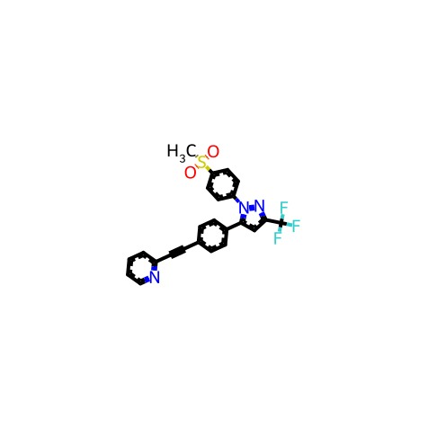 CS(=O)(=O)c1ccc(-n2nc(C(F)(F)F)cc2-c2ccc(C#Cc3ccccn3)cc2)cc1